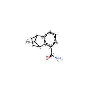 CC(C)C1C2CCC1c1c(C(N)=O)cccc12